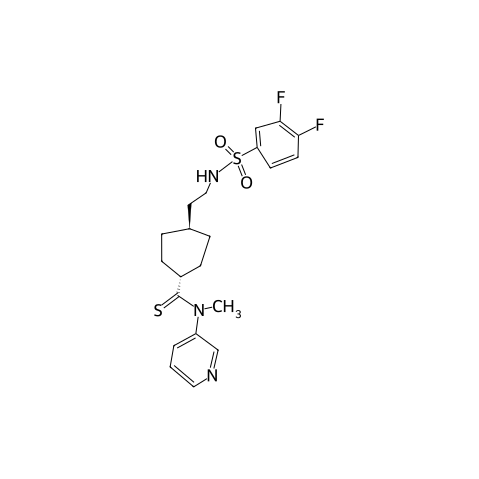 CN(c1cccnc1)C(=S)[C@H]1CC[C@H](CCNS(=O)(=O)c2ccc(F)c(F)c2)CC1